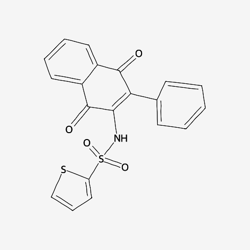 O=C1C(NS(=O)(=O)c2cccs2)=C(c2ccccc2)C(=O)c2ccccc21